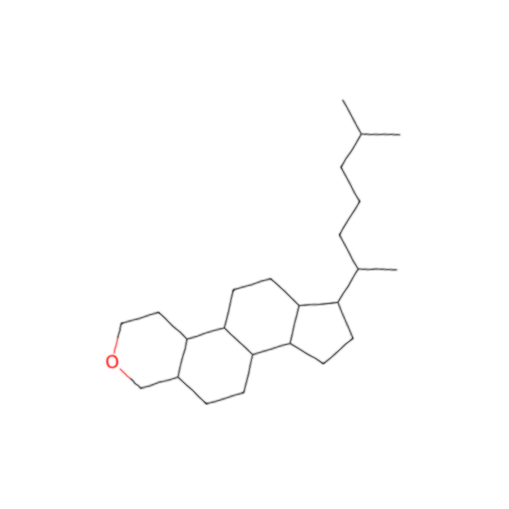 CC(C)CCCC(C)C1CCC2C1CCC1C3CCOCC3CCC12